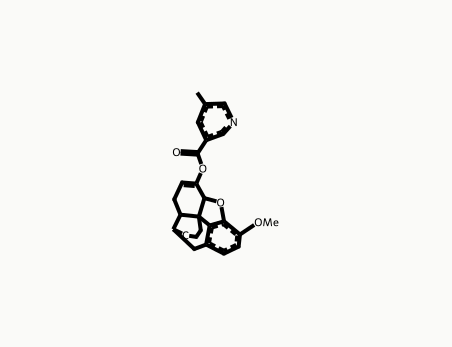 COc1ccc2c3c1OC1C(OC(=O)c4cncc(C)c4)=CCC4C(CCCC314)C2